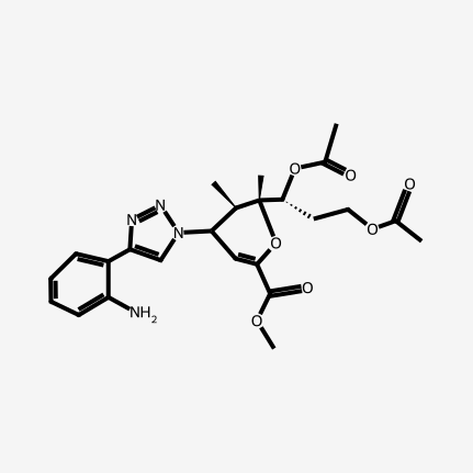 COC(=O)C1=CC(n2cc(-c3ccccc3N)nn2)[C@@H](C)[C@](C)([C@@H](CCOC(C)=O)OC(C)=O)O1